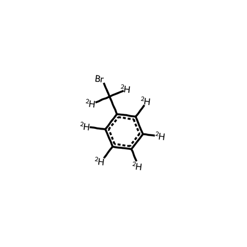 [2H]c1c([2H])c([2H])c(C([2H])([2H])Br)c([2H])c1[2H]